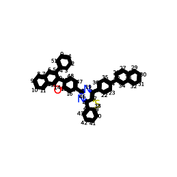 C1=CCCC(c2cc3ccccc3c3oc4cc(-c5nc(-c6ccc(-c7ccc8ccccc8c7)cc6)c6sc7ccccc7c6n5)ccc4c23)=C1